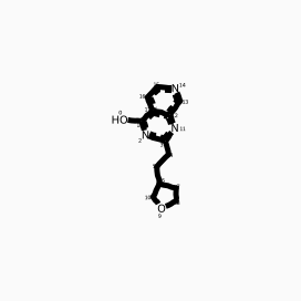 Oc1nc(CCC2CCOC2)nc2cnccc12